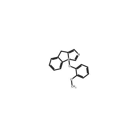 COc1ccccc1O[N+]12C=NC=C1Cc1ccccc12